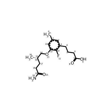 Cc1cc(CCCC(=O)O)c(F)c(OC[C@@H](C)CCC(N)=O)c1